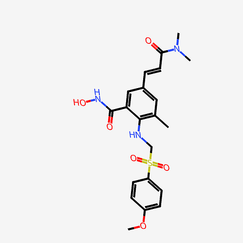 COc1ccc(S(=O)(=O)CNc2c(C)cc(C=CC(=O)N(C)C)cc2C(=O)NO)cc1